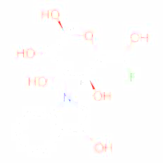 Oc1cn([C@]2(O)[C@H](O)[C@@H](C(O)F)O[C@H](O)[C@H]2O)c2ccccc12